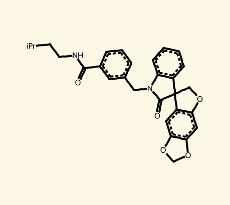 CC(C)CCNC(=O)c1cccc(CN2C(=O)C3(COc4cc5c(cc43)OCO5)c3ccccc32)c1